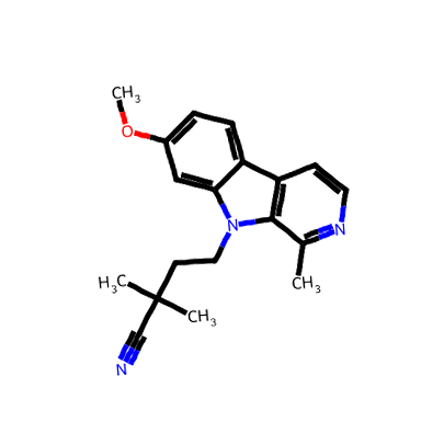 COc1ccc2c3ccnc(C)c3n(CCC(C)(C)C#N)c2c1